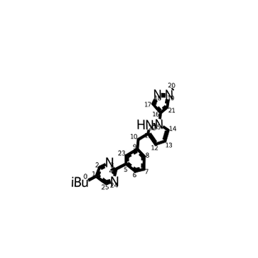 CCC(C)c1cnc(-c2cccc(CC3=CC=CN(c4cnn(C)c4)N3)c2)nc1